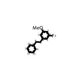 COc1cc(F)cc(CCc2ccccc2)c1